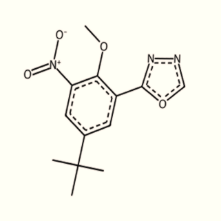 COc1c(-c2nnco2)cc(C(C)(C)C)cc1[N+](=O)[O-]